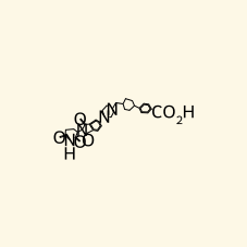 O=C1CCC(N2C(=O)c3ccc(N4CCN(CC5CCC(c6ccc(C(=O)O)cc6)CC5)CC4)cc3C2=O)C(=O)N1